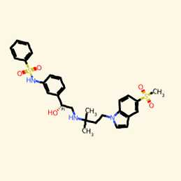 CC(C)(CCn1ccc2cc(S(C)(=O)=O)ccc21)NC[C@H](O)c1cccc(NS(=O)(=O)c2ccccc2)c1